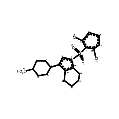 O=C(O)C1CCC(c2cn(S(=O)(=O)c3c(Cl)cccc3Cl)c3c2CCCC3)CC1